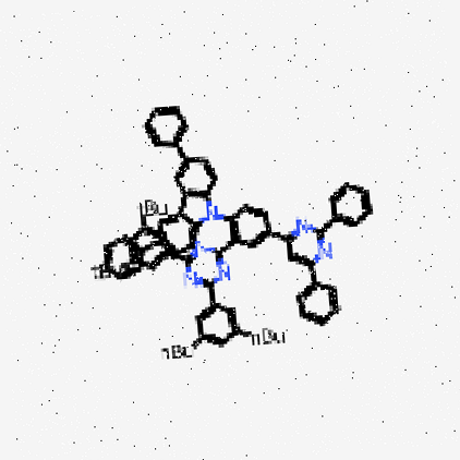 CCCCc1cc(CCCC)cc(-c2nc(-c3cc(C(C)(C)C)cc(C(C)(C)C)c3)nc(-c3cc(-c4cc(-c5ccccc5)nc(-c5ccccc5)n4)ccc3-n3c4ccc(-c5ccccc5)cc4c4cc(-c5ccccc5)ccc43)n2)c1